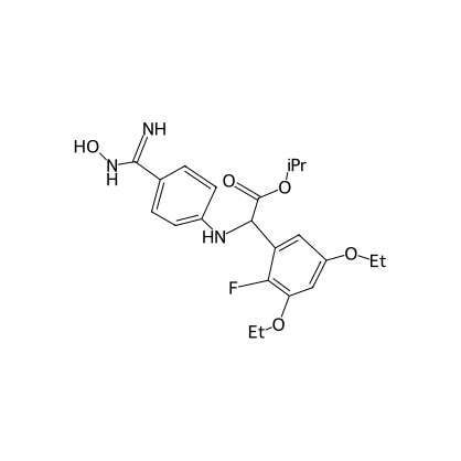 CCOc1cc(OCC)c(F)c(C(Nc2ccc(C(=N)NO)cc2)C(=O)OC(C)C)c1